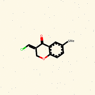 CSc1ccc2c(c1)C(=O)C(=CCl)CO2